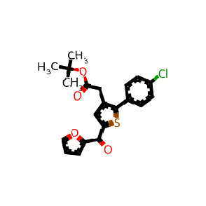 CC(C)(C)OC(=O)Cc1cc(C(=O)c2ccco2)sc1-c1ccc(Cl)cc1